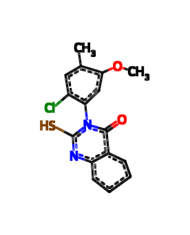 COc1cc(-n2c(S)nc3ccccc3c2=O)c(Cl)cc1C